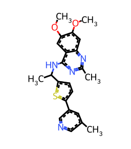 COc1cc2nc(C)nc(NC(C)c3ccc(-c4cncc(C)c4)s3)c2cc1OC